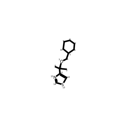 CC(C)(OCC1CCCCC1)c1cscn1